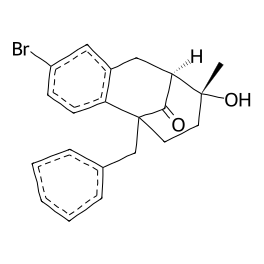 C[C@@]1(O)CCC2(Cc3ccccc3)C(=O)[C@H]1Cc1cc(Br)ccc12